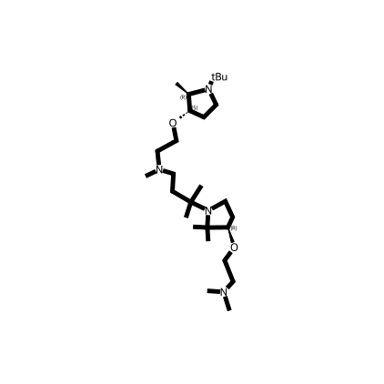 C[C@@H]1[C@@H](OCCN(C)CCC(C)(C)N2CC[C@@H](OCCN(C)C)C2(C)C)CCN1C(C)(C)C